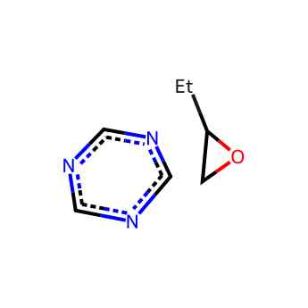 CCC1CO1.c1ncncn1